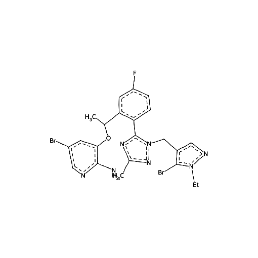 CCn1ncc(Cn2nc(C)nc2-c2ccc(F)cc2C(C)Oc2cc(Br)cnc2N)c1Br